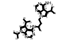 CC(CCn1cc(C(C)C)c2c(N)ncnc21)Nc1ncnc2c1c(C(C)C)cn2C(C)C